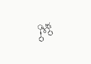 Cc1nc(C(=O)N2CCCCC2C#Cc2ccccc2)c(-c2ccccc2)s1